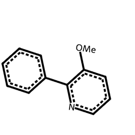 COc1cccnc1-c1ccccc1